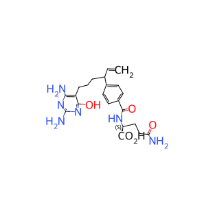 C=CC(CCCc1c(N)nc(N)nc1O)c1ccc(C(=O)N[C@@H](CCC(N)=O)C(=O)O)cc1